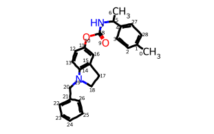 Cc1ccc(C(C)NC(=O)Oc2ccc3c(c2)CCN3Cc2ccccc2)cc1